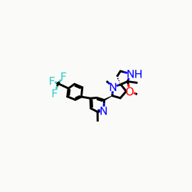 COC1(C)NCC[C@@]12CC[C@@H](c1cc(-c3ccc(C(F)(F)F)cc3)cc(C)n1)N2C